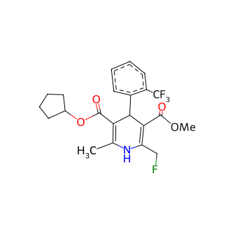 COC(=O)C1=C(CF)NC(C)=C(C(=O)OC2CCCC2)C1c1ccccc1C(F)(F)F